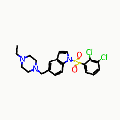 CCN1CCN(Cc2ccc3c(ccn3S(=O)(=O)c3cccc(Cl)c3Cl)c2)CC1